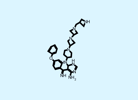 N=C(C1=C(N)N=CNC1NC1CCN(C2CN(C3CN(CC4CNC4)C3)C2)CC1)c1ccc(Oc2ccccc2)cc1